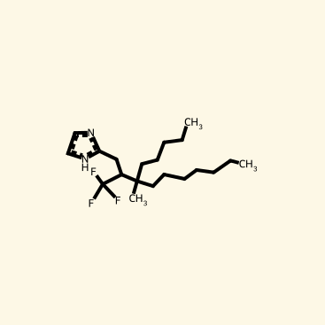 CCCCCCCC(C)(CCCCC)C(Cc1ncc[nH]1)C(F)(F)F